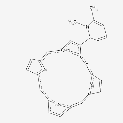 CC1=CC=CC(c2cc3cc4nc(cc5ccc(cc6nc(cc2[nH]3)C=C6)[nH]5)C=C4)N1C